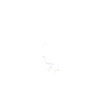 CCCCCCCCCCCCC#Cc1cc(F)c(C(=O)OCC)[nH]1